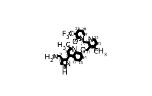 Cc1cc(-c2n[nH]cc2CN)c2cccc(OCc3c(C)ccnc3Cn3cccc(C(F)(F)F)c3=O)c2n1